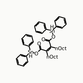 CCCCCCCC/C(C(=O)[O][SnH]([c]1ccccc1)[c]1ccccc1)=C(\CCCCCCCC)C(=O)[O][SnH]([c]1ccccc1)[c]1ccccc1